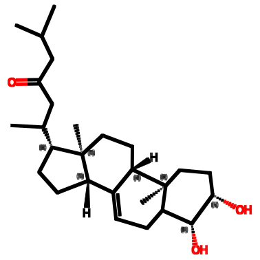 CC(C)CC(=O)CC(C)[C@H]1CC[C@H]2C3=CCC4[C@@H](O)[C@@H](O)CC[C@]4(C)[C@H]3CC[C@]12C